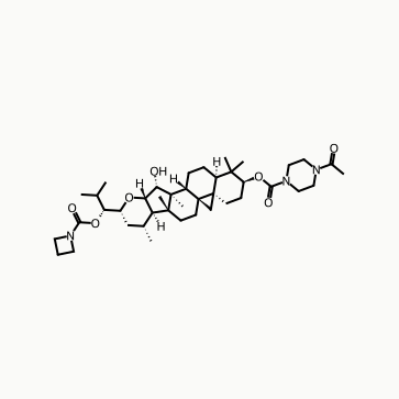 CC(=O)N1CCN(C(=O)O[C@H]2CC[C@]34C[C@]35CC[C@]3(C)[C@@H]6[C@H](O[C@@H]([C@H](OC(=O)N7CCC7)C(C)C)C[C@H]6C)[C@H](O)[C@@]3(C)[C@@H]5CC[C@H]4C2(C)C)CC1